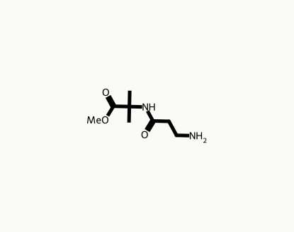 COC(=O)C(C)(C)NC(=O)CCN